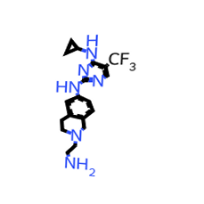 NCCN1CCc2cc(Nc3ncc(C(F)(F)F)c(NC4CC4)n3)ccc2C1